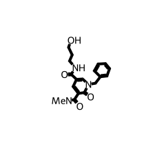 CNC(=O)c1cc(C(=O)NCCCO)cn(Cc2ccccc2)c1=O